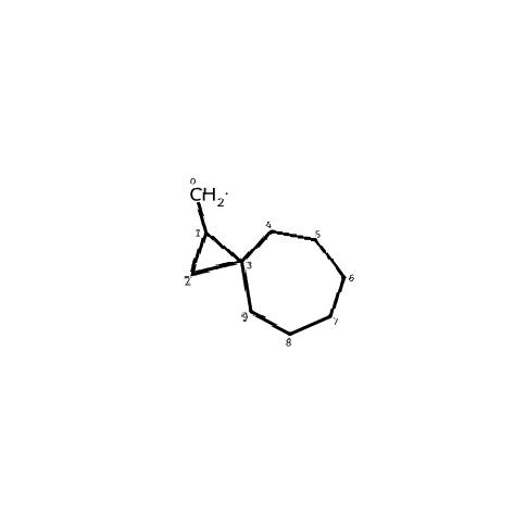 [CH2]C1CC12CCCCCC2